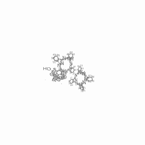 O=S(=O)([O-])c1c(S(=O)(=O)[O-])c(S(=O)(=O)O)c2c3nc4nc(nc5[nH]c(nc6nc(nc([nH]3)c2c1S(=O)(=O)[O-])-c1ccccc1-6)c1ccccc51)-c1ccccc1-4.[Al+3].[Al].c1ccc2c(c1)-c1nc-2nc2[nH]c(nc3nc(nc4[nH]c(n1)c1ccccc41)-c1ccccc1-3)c1ccccc21